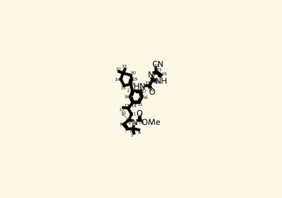 COC(=O)N1C(C)(C)C=C[C@@]1(C)CC(C)c1ccc(NC(=O)c2nc(C#N)c[nH]2)c(C2=CCC(C)(C)CC2)c1